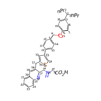 CCCC(CCC)c1ccc(OCc2ccc(-c3csc(Cc4cc5ccccc5nc4CNCC(=O)O)c3)cc2)cc1